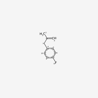 [CH]=C(C)Cc1ccc(F)cc1